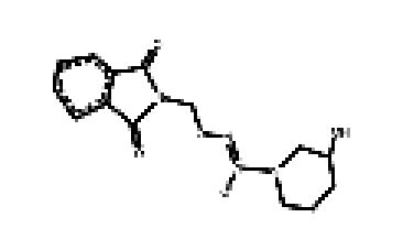 O=C1c2ccccc2C(=O)N1CON=[N+]([O-])N1CCCC(O)C1